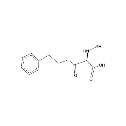 O=C(O)[C@H](NS)C(=O)CCCc1ccccc1